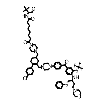 CC(C)(C)C(C=O)NC(=O)CCCCCCC(=O)N1CCN(CC2CCC(c3ccc(Cl)cc3)=C(CN3CCN(c4ccc(C(=O)c5ccc(NC(CCN6CCOCC6)CSc6ccccc6)c(SC(F)(F)F)c5)cc4)CC3)C2)CC1